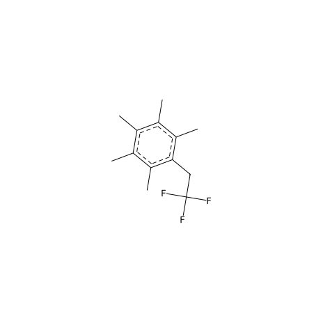 Cc1c(C)c(C)c(CC(F)(F)F)c(C)c1C